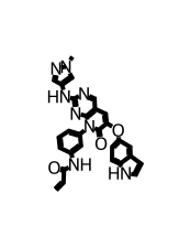 C=CC(=O)Nc1cccc(-n2c(=O)c(Oc3ccc4[nH]ccc4c3)cc3cnc(Nc4cnn(C)c4)nc32)c1